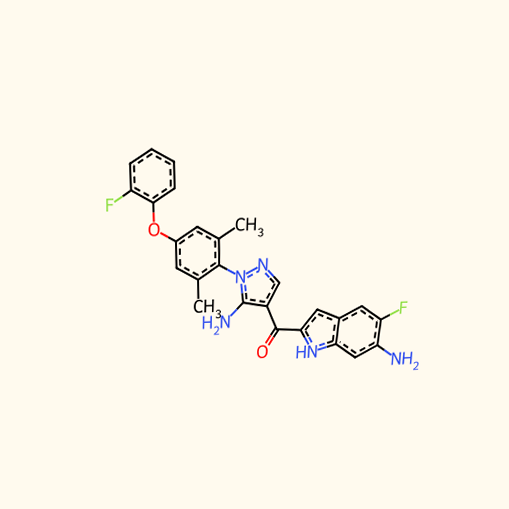 Cc1cc(Oc2ccccc2F)cc(C)c1-n1ncc(C(=O)c2cc3cc(F)c(N)cc3[nH]2)c1N